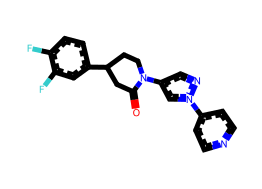 O=C1CC(c2ccc(F)c(F)c2)CCN1c1cnn(-c2ccncc2)c1